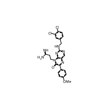 COc1ccc(-c2nc3cnc(NCc4ccc(Cl)c(Cl)c4)nc3n(CCC(=N)N)c2=O)cc1